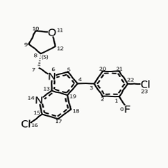 Fc1cc(-c2cn(C[C@@H]3CCOC3)c3nc(Cl)ccc23)ccc1Cl